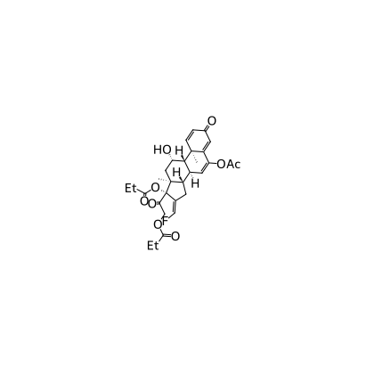 CCC(=O)OCC(=O)[C@]1(OC(=O)CC)C(=CF)C[C@H]2[C@@H]3C=C(OC(C)=O)C4=CC(=O)C=C[C@]4(C)[C@H]3[C@@H](O)C[C@@]21C